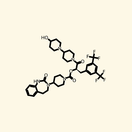 O=C(O[C@H](Cc1cc(C(F)(F)F)cc(C(F)(F)F)c1)C(=O)N1CCC(N2CCC(O)CC2)CC1)N1CCC(N2CCc3ccccc3NC2=O)CC1